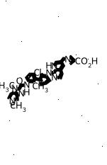 Cc1c(NC(=O)c2nc3c(n2C)CCN(C)C3)cccc1-c1cccc(Nc2nccc3cc(CN4CC(C(=O)O)C4)cnc23)c1Cl